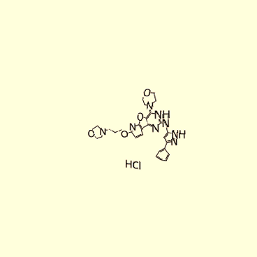 Cl.c1ccc(-c2cc(Nc3nc(N4CCOCC4)c4oc5nc(OCCCN6CCOCC6)ccc5c4n3)[nH]n2)cc1